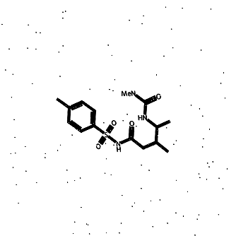 CNC(=O)NC(C)C(C)CC(=O)NS(=O)(=O)c1ccc(C)cc1